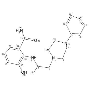 CC(CN1CCN(c2ccccc2)CC1)Nc1c(O)cccc1C(N)=O